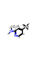 CN(C(=O)O)c1c[c]([Sn]([CH3])([CH3])[CH3])ccn1